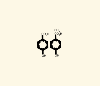 C.O=C(O)c1ccc(O)cc1.O=C(O)c1ccc(O)cc1